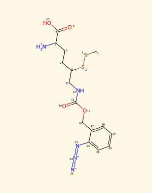 CSSC(CCC(N)C(=O)O)CNC(=O)OCc1ccccc1N=[N+]=[N-]